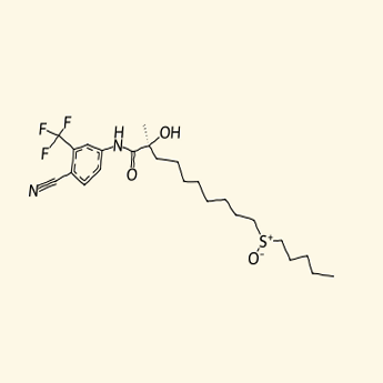 CCCCC[S+]([O-])CCCCCCCC[C@](C)(O)C(=O)Nc1ccc(C#N)c(C(F)(F)F)c1